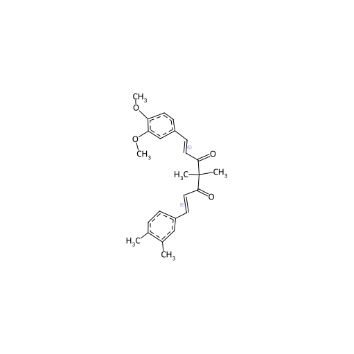 COc1ccc(/C=C/C(=O)C(C)(C)C(=O)/C=C/c2ccc(C)c(C)c2)cc1OC